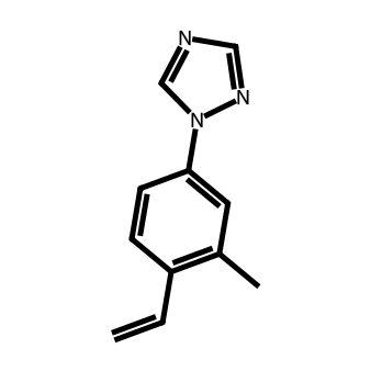 C=Cc1ccc(-n2cncn2)cc1C